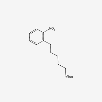 CCCCCCCCCCCCCCc1ccc[c]c1[N+](=O)[O-]